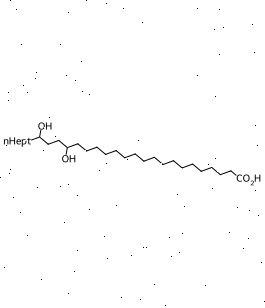 CCCCCCCC(O)CCC(O)CCCCCCCCCCCCCCCCCC(=O)O